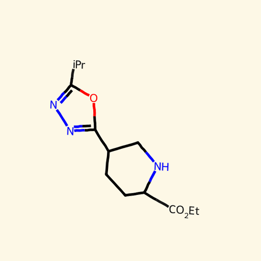 CCOC(=O)C1CCC(c2nnc(C(C)C)o2)CN1